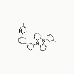 CC1=CCC(C2=CC=CC(C3=CCCC(N4c5ccccc5N(C5=CC(C)CC=C5)C5CCC=CC54)=C3)C2)N=C1